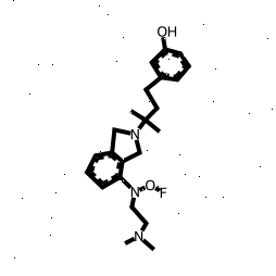 CN(C)CCN(OF)c1cccc2c1CN(C(C)(C)CCc1cccc(O)c1)C2